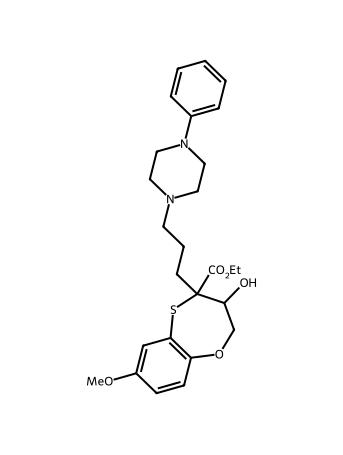 CCOC(=O)C1(CCCN2CCN(c3ccccc3)CC2)Sc2cc(OC)ccc2OCC1O